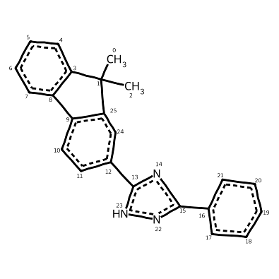 CC1(C)c2ccccc2-c2ccc(-c3nc(-c4ccccc4)n[nH]3)cc21